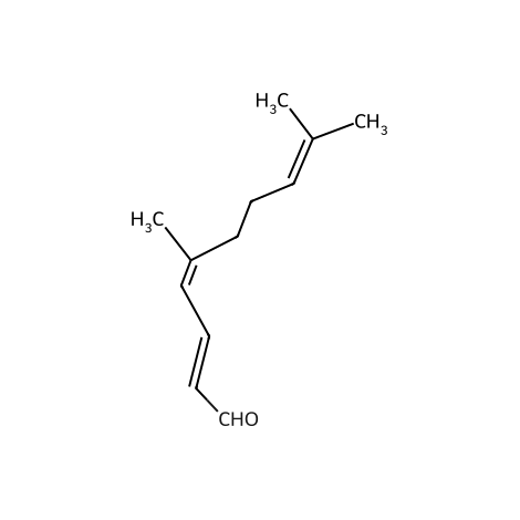 CC(C)=CCCC(C)=CC=CC=O